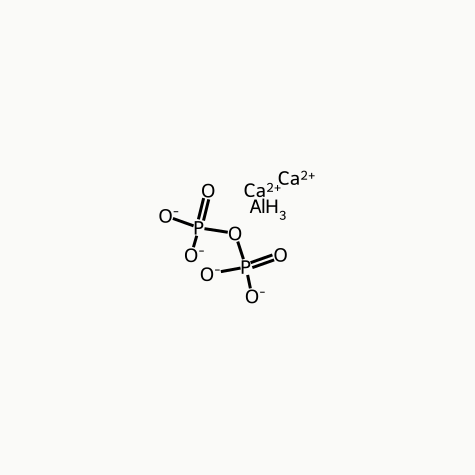 O=P([O-])([O-])OP(=O)([O-])[O-].[AlH3].[Ca+2].[Ca+2]